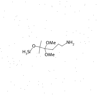 COC(CCCN)(OC)C(C)(C)O[SiH3]